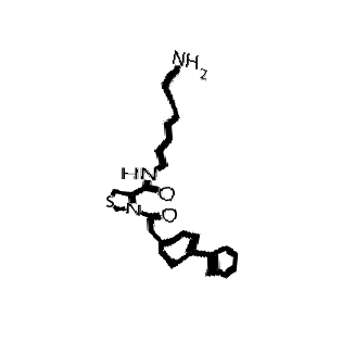 NCCCCCCCNC(=O)C1CSCN1C(=O)Cc1ccc(-c2ccccc2)cc1